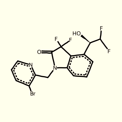 O=C1N(Cc2ncccc2Br)c2cccc([C@@H](O)C(F)F)c2C1(F)F